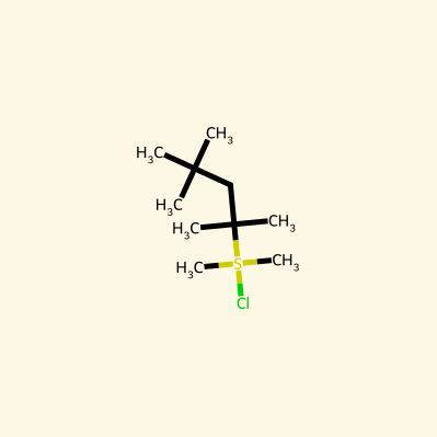 CC(C)(C)CC(C)(C)S(C)(C)Cl